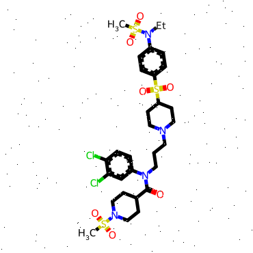 CCN(c1ccc(S(=O)(=O)C2CCN(CCCN(C(=O)C3CCN(S(C)(=O)=O)CC3)c3ccc(Cl)c(Cl)c3)CC2)cc1)S(C)(=O)=O